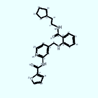 O=C(Nc1cc(CNc2ccccc2C(=O)NCCC2CCCC2)ccn1)c1ccco1